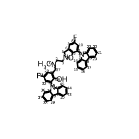 CN(CCN1Cc2cc(F)cc(-n3c4ccccc4c4ccccc43)c2O1)Cc1cc(F)cc(-n2c3ccccc3c3ccccc32)c1O